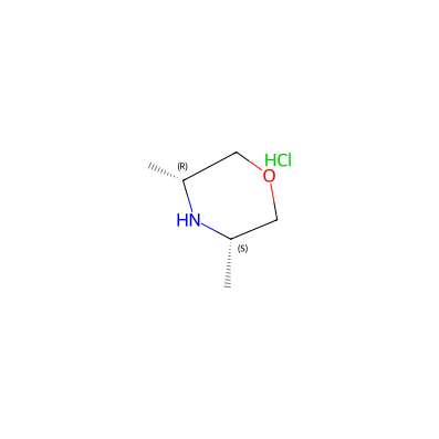 C[C@@H]1COC[C@H](C)N1.Cl